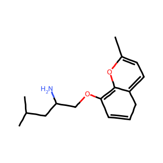 CC1=CC=C2CC=CC(OCC(N)CC(C)C)=C2O1